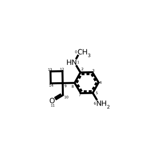 CNc1ccc(N)cc1C1(C=O)CCC1